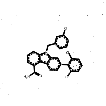 NC(=O)c1cccc2c1c1[c]cc(-c3c(Cl)cccc3Cl)cc1n2Cc1cccc(Cl)c1